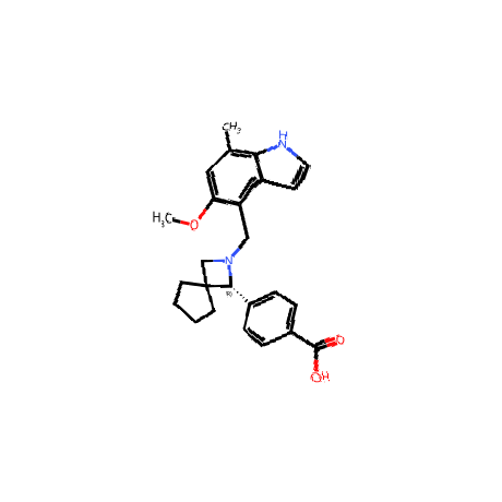 COc1cc(C)c2[nH]ccc2c1CN1CC2(CCCC2)[C@H]1c1ccc(C(=O)O)cc1